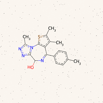 Cc1ccc(C2=NC(O)c3nnc(C)n3-c3sc(C)c(C)c32)cc1